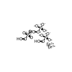 O=P([O-])([O-])OO.O=P([O-])([O-])OO.O=P([O-])([O-])OO.[Fe+3].[Fe+3]